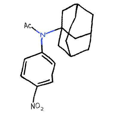 CC(=O)N(c1ccc([N+](=O)[O-])cc1)C12CC3CC(CC(C3)C1)C2